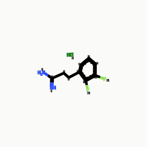 Cl.N=C(N)CCc1cccc(F)c1F